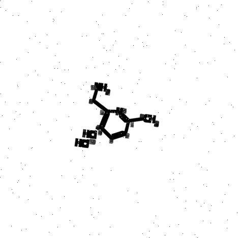 Cc1cccc(CN)n1.Cl.Cl